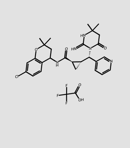 CC1(C)CC(=O)N([C@H](c2cccnc2)[C@@H]2C[C@H]2C(=O)NC2CC(C)(C)Oc3cc(Cl)ccc32)C(=N)N1.O=C(O)C(F)(F)F